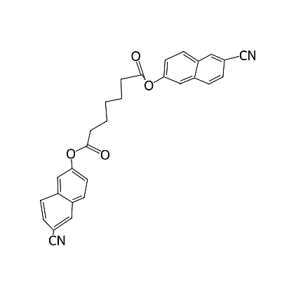 N#Cc1ccc2cc(OC(=O)CCCCCC(=O)Oc3ccc4cc(C#N)ccc4c3)ccc2c1